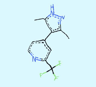 Cc1n[nH]c(C)c1-c1ccnc(C(F)(F)F)c1